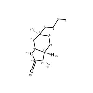 CCCC[C@@]1(C)CC[C@@H]2C(C1)OC(=O)[C@H]2C